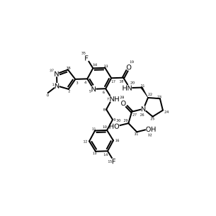 Cn1cc(-c2nc(NCCc3cccc(F)c3)c(C(=O)NC[C@H]3CCCN3C(=O)C(O)CO)cc2F)cn1